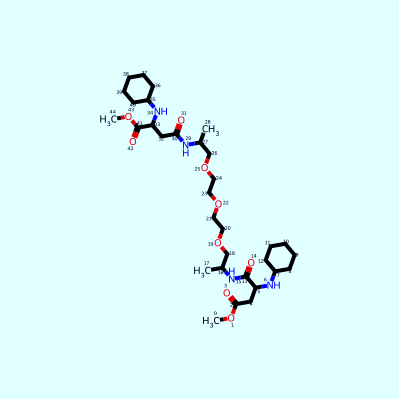 COC(=O)CC(NC1CCCCC1)C(=O)NC(C)COCCOCCOCC(C)NC(=O)CC(NC1CCCCC1)C(=O)OC